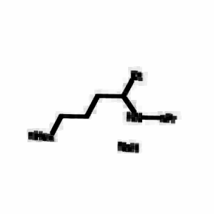 CCCCCCCCCC(CC)NCCC.[NaH]